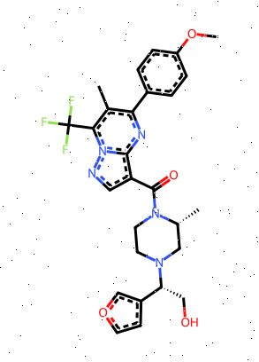 COc1ccc(-c2nc3c(C(=O)N4CCN([C@H](CO)c5ccoc5)C[C@H]4C)cnn3c(C(F)(F)F)c2C)cc1